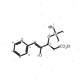 CCOC(=O)C[C@H](O[Si](C)(C)C(C)(C)C)C(Cl)=Cc1ccccn1